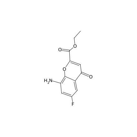 CCOC(=O)c1cc(=O)c2cc(F)cc(N)c2o1